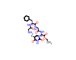 CCOC(=O)[C@H](NC(=O)CNC(=O)[C@H](Cc1ccccc1)NC(=O)CN)n1cc(F)c(=O)[nH]c1=O